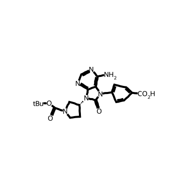 CC(C)(C)OC(=O)N1CC[C@@H](n2c(=O)n(-c3ccc(C(=O)O)cc3)c3c(N)ncnc32)C1